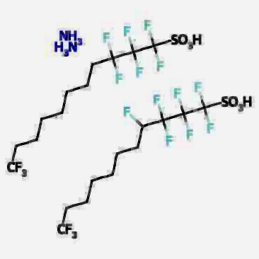 N.N.O=S(=O)(O)C(F)(F)C(F)(F)C(F)(F)C(F)CCCCCCC(F)(F)F.O=S(=O)(O)C(F)(F)C(F)(F)C(F)(F)CCCCCCCC(F)(F)F